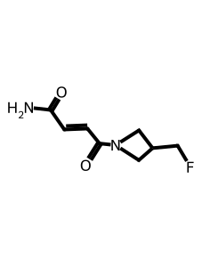 NC(=O)/C=C/C(=O)N1CC(CF)C1